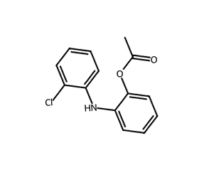 CC(=O)Oc1ccccc1Nc1ccccc1Cl